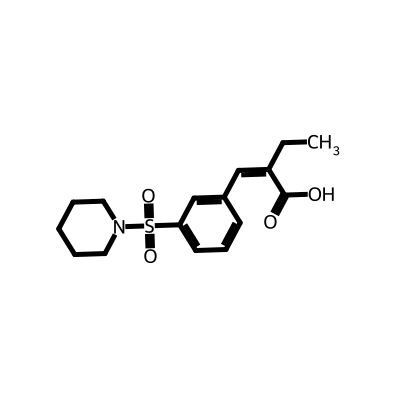 CCC(=Cc1cccc(S(=O)(=O)N2CCCCC2)c1)C(=O)O